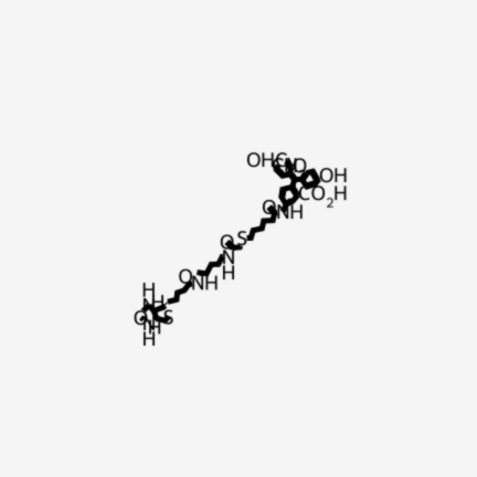 C/C=C\C1=C(c2ccc(NC(=O)CCCCCSCC(=O)NCCCCCNC(=O)CCCC[C@@H]3SC[C@@H]4NOCN[C@@H]43)cc2C(=O)O)c2ccc(O)cc2O/C1=C/C=O